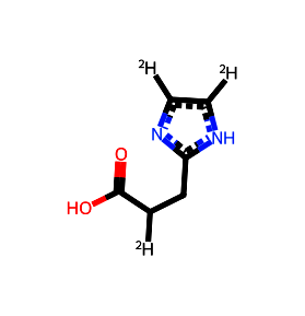 [2H]c1nc(CC([2H])C(=O)O)[nH]c1[2H]